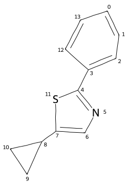 c1ccc(-c2ncc(C3CC3)s2)cc1